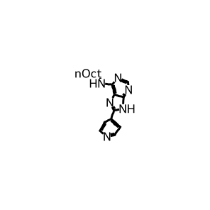 CCCCCCCCNc1ncnc2[nH]c(-c3ccncc3)nc12